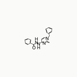 C=C1N=C(NNC(=O)c2ccccc2)C=CN1Cc1ccccc1